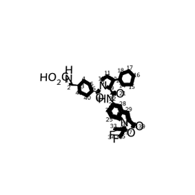 O=C(O)NC[C@H]1CC[C@H](C(=O)N2CC[C@@H](C3CCCCC3)[C@H]2C(=O)Nc2ccc3c(c2)cc2n3C(CF)(CF)OC2=O)CC1